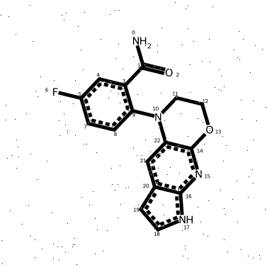 NC(=O)c1cc(F)ccc1N1CCOc2nc3[nH]ccc3cc21